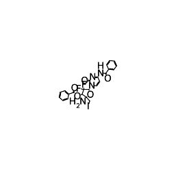 N[C@]1(CI)O[C@@H](n2ccc(NC(=O)c3ccccc3)nc2=O)C(F)(F)[C@@H]1OC(=O)c1ccccc1